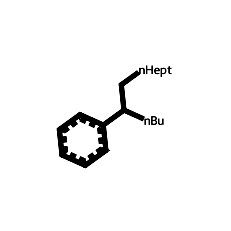 CCCCCCCCC(CCCC)c1[c]cccc1